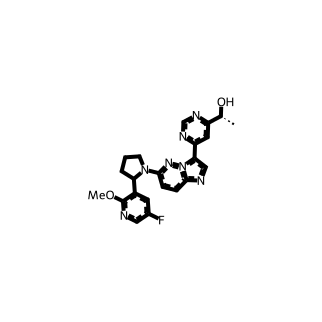 COc1ncc(F)cc1C1CCCN1c1ccc2ncc(-c3cc([C@@H](C)O)ncn3)n2n1